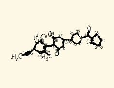 CC#Cc1cc(C)c(C2C(=O)CC(C3CCN(C(=O)c4ccccc4)CC3)CC2=O)c(C)c1